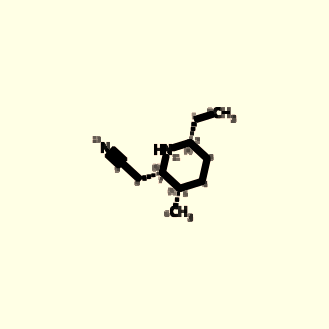 CC[C@@H]1CC[C@H](C)[C@H](CC#N)N1